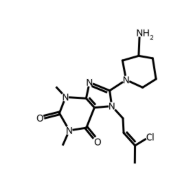 CC(Cl)=CCn1c(N2CCCC(N)C2)nc2c1c(=O)n(C)c(=O)n2C